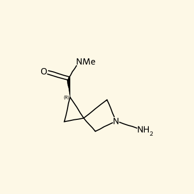 CNC(=O)[C@@H]1CC12CN(N)C2